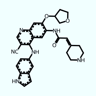 N#Cc1cnc2cc(OC3CCOC3)c(NC(=O)C=C3CCNCC3)cc2c1Nc1ccc2[nH]ccc2c1